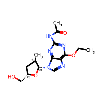 CCOc1nc(NC(C)=O)nc2c1ncn2[C@@H]1O[C@H](CO)C[C@@H]1C